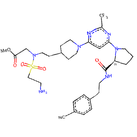 COC(=O)CN(CCC1CCN(c2cc(N3CCC[C@H]3C(=O)NCCc3ccc(C#N)cc3)nc(C(F)(F)F)n2)CC1)S(=O)(=O)CCN